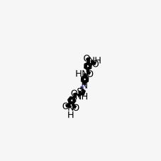 O=C(Nc1ccc(/N=C/c2ccc(NC(=O)c3ccc4c(c3)C(=O)NC4=O)s2)cc1)c1ccc2c(c1)C(=O)NC2=O